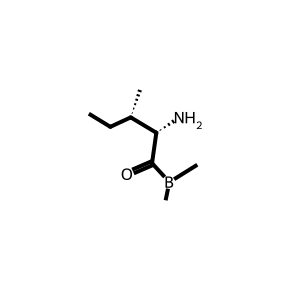 CC[C@H](C)[C@H](N)C(=O)B(C)C